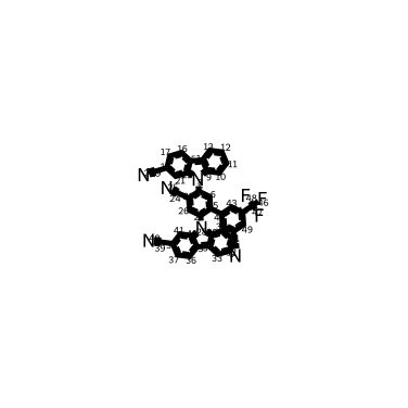 N#Cc1cc(-c2cc(-n3c4ccccc4c4ccc(C#N)cc43)c(C#N)cc2-n2c3ccccc3c3ccc(C#N)cc32)cc(C(F)(F)F)c1